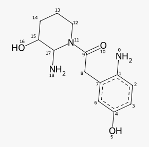 Nc1ccc(O)cc1CC(=O)N1CCCC(O)C1N